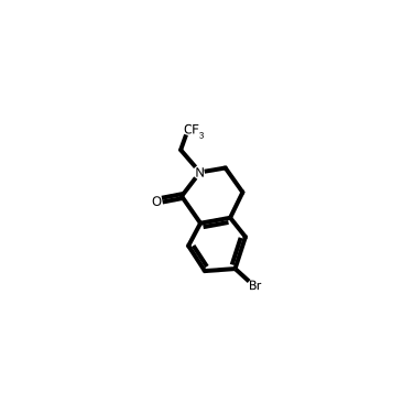 O=C1c2ccc(Br)cc2CCN1CC(F)(F)F